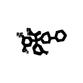 CCNC(=O)C(c1cccc(F)c1)(c1cc(C(F)(F)F)cc(C(F)(F)F)c1)N1CCN(C2CCCCC2)CC1